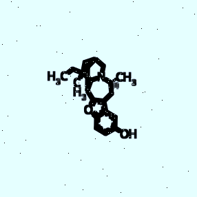 CCC1(C)CC2CC3c4oc5ccc(O)cc5c4C[C@@H](C)N(C2)C31